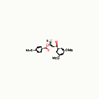 COc1ccc(C(=O)OC(C)=CC(=O)c2cc(OC)cc(OC)c2)cc1